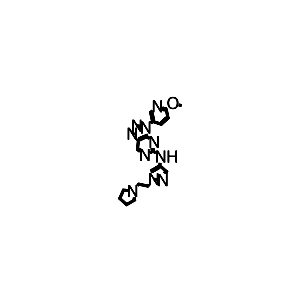 COc1ccc(-n2nnc3cnc(Nc4cnn(CCN5CCCC5)c4)nc32)cn1